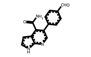 NC(=O)c1c(-c2ccc(C=O)cc2)cnc2[nH]c[c]c12